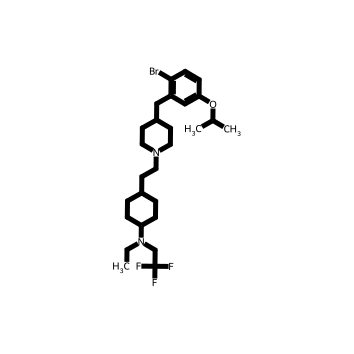 CCN(CC(F)(F)F)C1CCC(CCN2CCC(Cc3cc(OC(C)C)ccc3Br)CC2)CC1